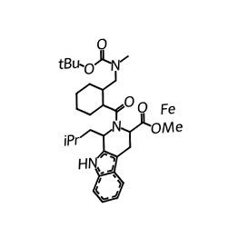 COC(=O)C1Cc2c([nH]c3ccccc23)C(CC(C)C)N1C(=O)C1CCCCC1CN(C)C(=O)OC(C)(C)C.[Fe]